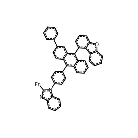 CCc1nc2ccccc2n1-c1ccc(-c2c3ccccc3c(-c3cccc4oc5ccccc5c34)c3cc(-c4ccccc4)ccc23)cc1